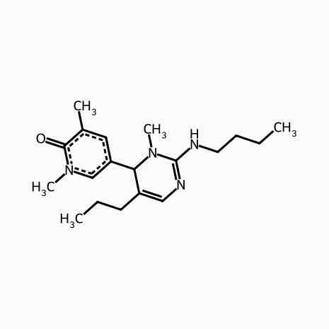 CCCCNC1=NC=C(CCC)C(c2cc(C)c(=O)n(C)c2)N1C